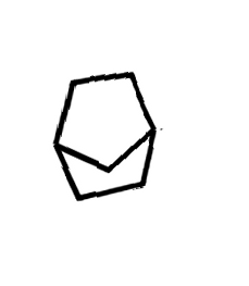 C1CC2CC[C]1C2